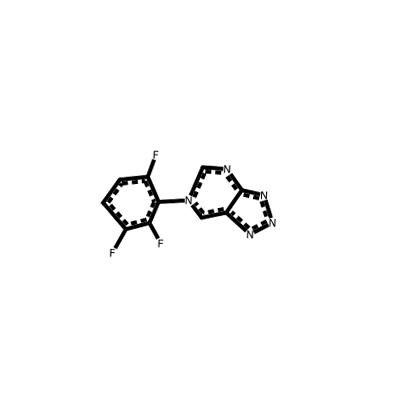 Fc1ccc(F)c(-n2cnc3nnnc-3c2)c1F